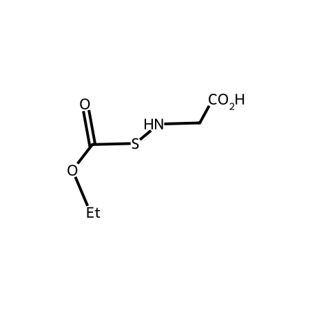 CCOC(=O)SNCC(=O)O